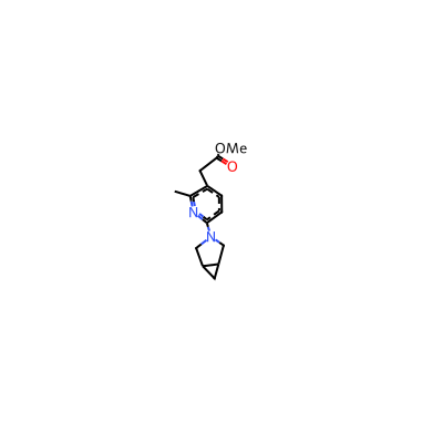 COC(=O)Cc1ccc(N2CC3CC3C2)nc1C